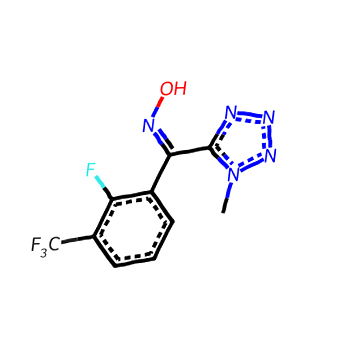 Cn1nnnc1C(=NO)c1cccc(C(F)(F)F)c1F